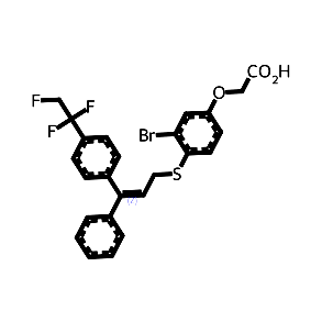 O=C(O)COc1ccc(SC/C=C(/c2ccccc2)c2ccc(C(F)(F)CF)cc2)c(Br)c1